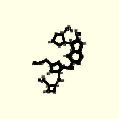 COCn1cc(Nc2ncc3cc(C#N)n([C@H]4COC[C@@H]4C)c3n2)c(O[C@@H]2CO[C@H]2C)n1